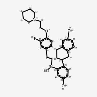 CCN(CCc1ccc(OCCN2CCCCC2)c(F)c1)c1cc(O)ccc1C1CCc2cc(O)ccc2C1